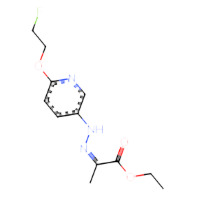 CCOC(=O)/C(C)=N\Nc1ccc(OCCF)nc1